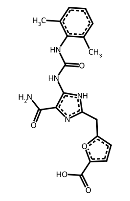 Cc1cccc(C)c1NC(=O)Nc1[nH]c(Cc2ccc(C(=O)O)o2)nc1C(N)=O